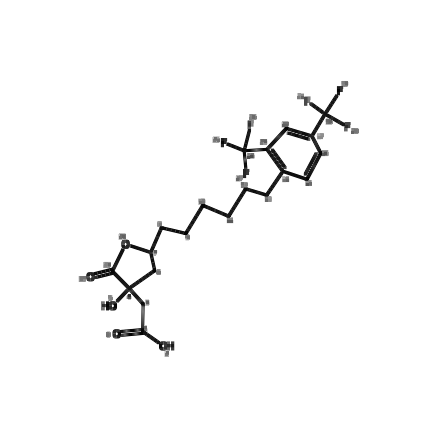 O=C(O)CC1(O)CC(CCCCCCc2ccc(C(F)(F)F)cc2C(F)(F)F)OC1=O